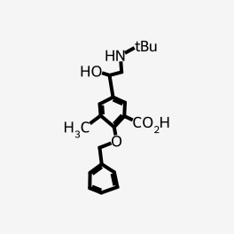 Cc1cc(C(O)CNC(C)(C)C)cc(C(=O)O)c1OCc1ccccc1